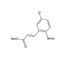 COC(=O)/C=C/c1cc(Cl)ccc1NC(C)=O